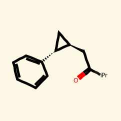 CC(C)C(=O)C[C@@H]1C[C@H]1c1ccccc1